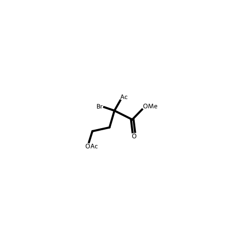 COC(=O)C(Br)(CCOC(C)=O)C(C)=O